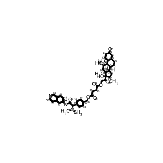 C[C@@H]1C[C@H]2[C@@H]3CCC4=CC(=O)C=C[C@]4(C)[C@@]3(C)[C@@H](O)C[C@]2(C)[C@@]1(O)C(=O)COC(=O)CCC(=O)OCc1ccc(C(C(=O)Nc2ccc3cnccc3c2)N(C)C)cc1